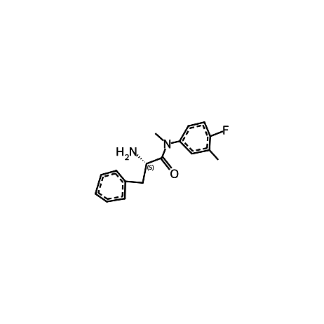 Cc1cc(N(C)C(=O)[C@@H](N)Cc2ccccc2)ccc1F